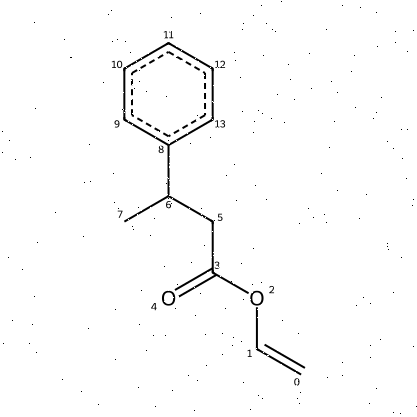 C=COC(=O)CC(C)c1ccccc1